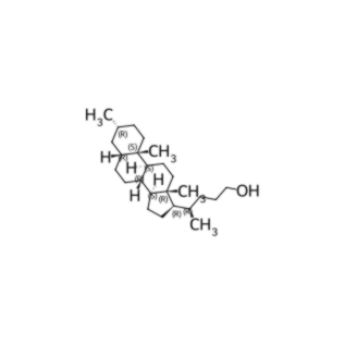 C[C@@H]1CC[C@@]2(C)[C@H](CC[C@@H]3[C@@H]2CC[C@]2(C)[C@@H]([C@H](C)CCCO)CC[C@@H]32)C1